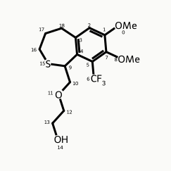 COc1cc2c(c(C(F)(F)F)c1OC)C(COCCO)SCCC2